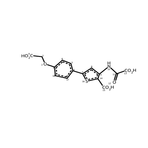 O=C(O)COc1ccc(-c2cc(NC(=O)C(=O)O)c(C(=O)O)s2)cc1